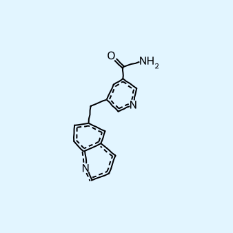 NC(=O)c1cncc(Cc2ccc3ncccc3c2)c1